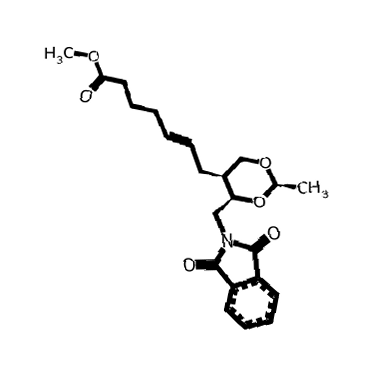 COC(=O)CCCC=CC[C@H]1CO[C@@H](C)O[C@H]1CN1C(=O)c2ccccc2C1=O